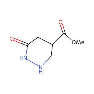 COC(=O)C1CNNC(=O)C1